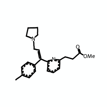 COC(=O)CCc1cccc(C(=CCN2CCCC2)c2ccc(C)cc2)n1